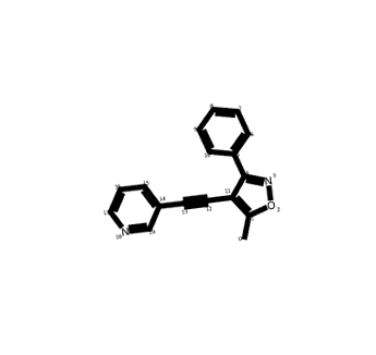 Cc1onc(-c2ccccc2)c1C#Cc1cccnc1